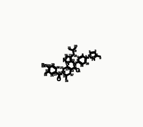 Cc1ccn(-c2ccc(-n3c(=O)c4c(n5ncc(CC(C)C)c35)CN(C(=O)c3ccc(Br)c(C)c3)C(C)C4)cc2)n1